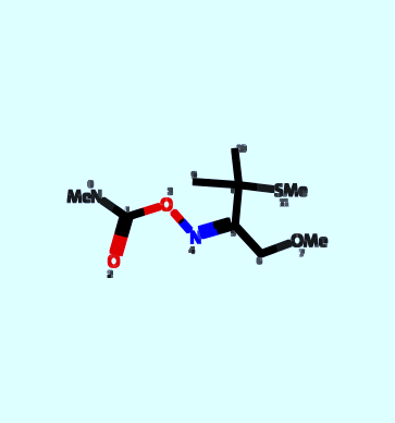 CNC(=O)ON=C(COC)C(C)(C)SC